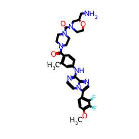 COc1ccc(-c2cnc3c(Nc4ccc(C(=O)N5CCN(C(=O)N6CCOC(CN)C6)CC5)c(C)c4)nccn23)c(F)c1F